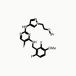 COc1ccc(F)c(CNc2nc(Nc3cnn(CCOC(C)C)c3)ncc2F)c1F